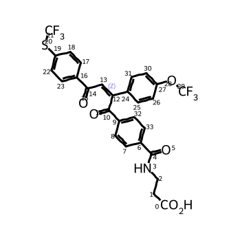 O=C(O)CCNC(=O)c1ccc(C(=O)/C(=C\C(=O)c2ccc(SC(F)(F)F)cc2)c2ccc(OC(F)(F)F)cc2)cc1